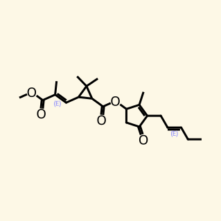 CC/C=C/CC1=C(C)C(OC(=O)C2C(/C=C(\C)C(=O)OC)C2(C)C)CC1=O